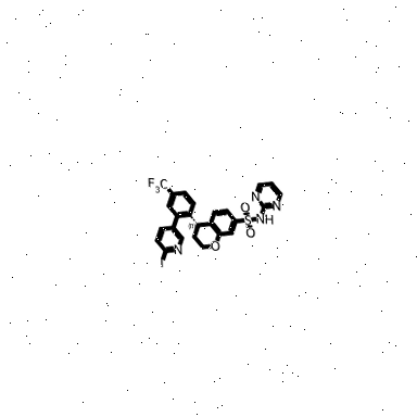 O=S(=O)(Nc1ncccn1)c1ccc2c(c1)OCC[C@@H]2c1ccc(C(F)(F)F)cc1-c1ccc(I)nc1